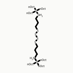 CCCCCCCCS(CCCCCCCC)(CCCCCCCC)[SiH2]CCCSSSSCCC[SiH2]S(CCCCCCCC)(CCCCCCCC)CCCCCCCC